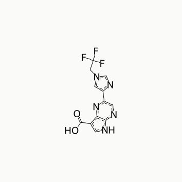 O=C(O)c1c[nH]c2ncc(-c3cn(CC(F)(F)F)cn3)nc12